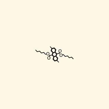 CCCCCCOC(=O)c1c2ccc(C)cc2c(C(=O)OCCCCCC)c2ccc(C)cc12